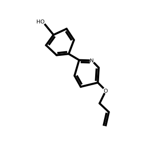 C=CCOc1ccc(-c2ccc(O)cc2)nc1